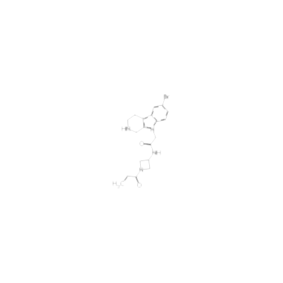 C=CC(=O)N1CC(NC(=O)Cn2c3c(c4cc(Br)ccc42)CCNC3)C1